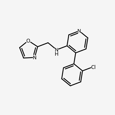 Clc1ccccc1-c1ccncc1NCc1ncco1